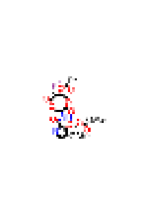 COC(=O)OCOc1c(OC)ccnc1C(=O)N[C@H]1COC(=O)[C@H](CP)[C@@H](OC(=O)C(C)C)[C@H](C)OC1=O